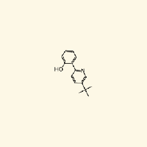 CC(C)(C)c1ccc(-c2ccccc2O)nc1